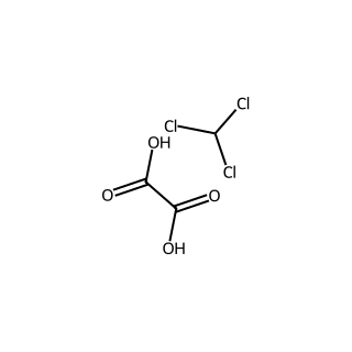 ClC(Cl)Cl.O=C(O)C(=O)O